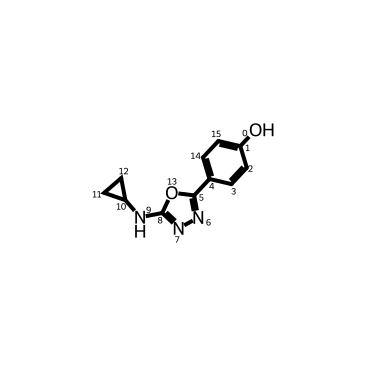 Oc1ccc(-c2nnc(NC3CC3)o2)cc1